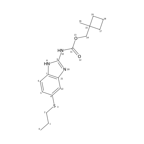 CCCSc1ccc2[nH]c(NC(=O)OCC3(C)CCC3)nc2c1